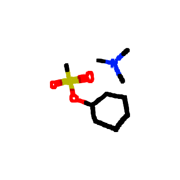 CN(C)C.CS(=O)(=O)OC1CCCCC1